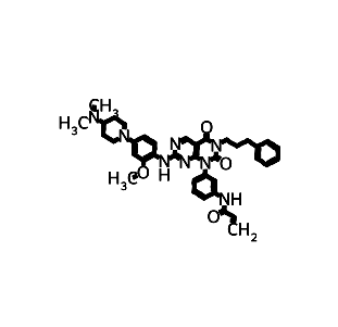 C=CC(=O)Nc1cccc(-n2c(=O)n(CCCc3ccccc3)c(=O)c3cnc(Nc4ccc(N5CCC(N(C)C)CC5)cc4OC)nc32)c1